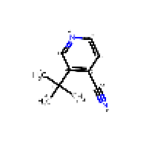 CC(C)(C)c1cnccc1C#N